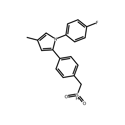 Cc1cc(-c2ccc(C[SH](=O)=O)cc2)n(-c2ccc(F)cc2)c1